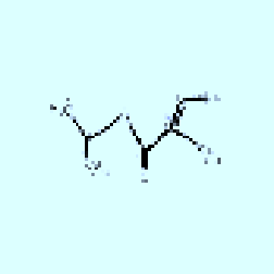 O=C(OC(C(F)(F)F)C(F)(F)F)/C(=C/F)C(F)(F)F